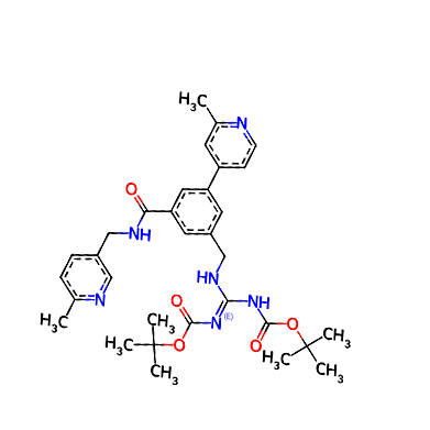 Cc1ccc(CNC(=O)c2cc(CN/C(=N\C(=O)OC(C)(C)C)NC(=O)OC(C)(C)C)cc(-c3ccnc(C)c3)c2)cn1